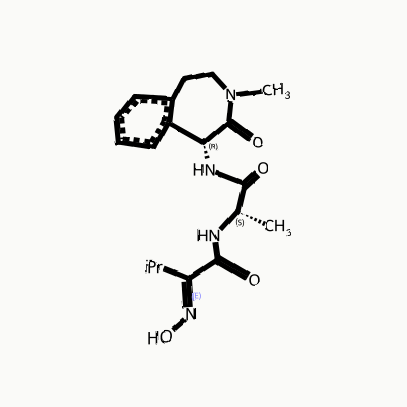 CC(C)/C(=N\O)C(=O)N[C@@H](C)C(=O)N[C@H]1C(=O)N(C)CCc2ccccc21